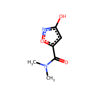 CN(C)C(=O)c1cc(O)no1